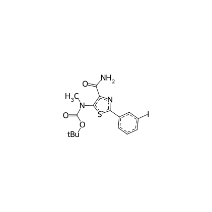 CN(C(=O)OC(C)(C)C)c1sc(-c2cccc(I)c2)nc1C(N)=O